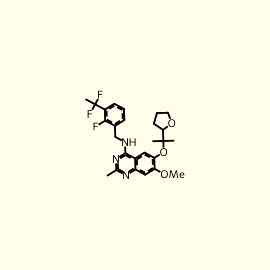 COc1cc2nc(C)nc(NCc3cccc(C(C)(F)F)c3F)c2cc1OC(C)(C)C1CCCO1